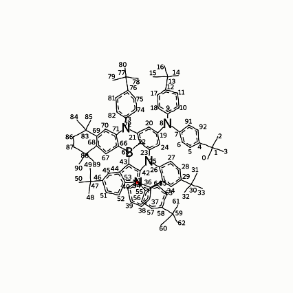 CC(C)(C)c1ccc(N(c2ccc(C(C)(C)C)cc2)c2cc3c4c(c2)N(c2ccc(C(C)(C)C)cc2-c2ccccc2)c2c(c5cc(C(C)(C)C)ccc5n2-c2ccc(C(C)(C)C)cc2)B4c2cc4c(cc2N3c2ccc(C(C)(C)C)cc2)C(C)(C)CCC4(C)C)cc1